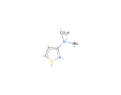 CC(C)(C)N(C(=O)O)c1ccsn1